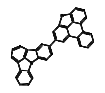 c1ccc2c(c1)c1cccc3oc4cc(-c5ccc6c(c5)c5cccc7c8ccccc8n6c75)cc2c4c31